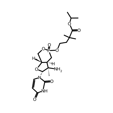 CC(C)OC(=O)C(C)(C)CCOP1(=O)C[C@@H]2[C@@H](CO1)O[C@@H](n1ccc(=O)[nH]c1=O)[C@]2(C)N